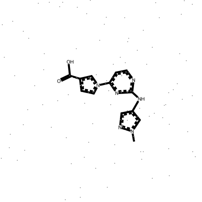 Cn1cc(Nc2nccc(-n3ccc(C(=O)O)c3)n2)cn1